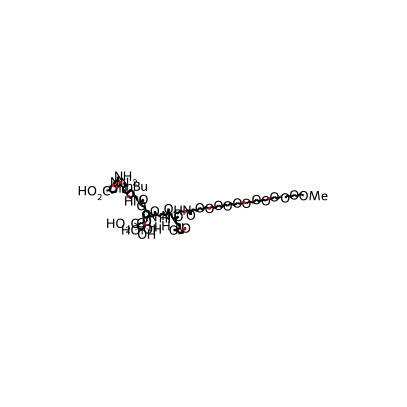 CCCCc1nc2c(N)nc3cc(C(=O)O)ccc3c2n1Cc1ccc(CNC(=O)OCc2ccc(O[C@@H]3O[C@H](C(=O)O)[C@@H](O)[C@H](O)[C@H]3O)c(NC(=O)CCNC(=O)[C@H](CCCCNC(=O)CCOCCOCCOCCOCCOCCOCCOCCOCCOCCOCCOCCOC)NC(=O)CCN3C(=O)C=CC3=O)c2)cc1